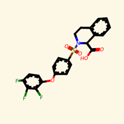 O=C(O)C1c2ccccc2CCN1S(=O)(=O)c1ccc(Oc2ccc(F)c(F)c2F)cc1